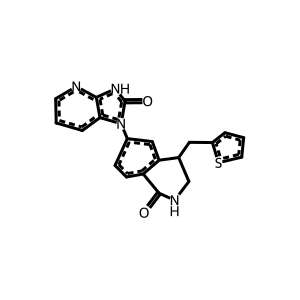 O=C1NCC(Cc2cccs2)c2cc(-n3c(=O)[nH]c4ncccc43)ccc21